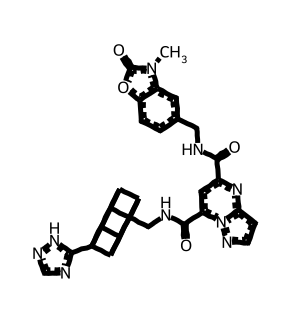 Cn1c(=O)oc2ccc(CNC(=O)c3cc(C(=O)NCC45C6C7C4C4C5C6C74c4ncn[nH]4)n4nccc4n3)cc21